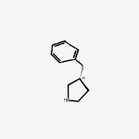 c1ccc(C[C@@H]2CCNC2)cc1